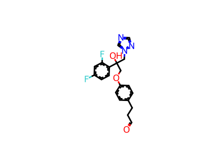 O=CCCc1ccc(OCC(O)(Cn2cncn2)c2ccc(F)cc2F)cc1